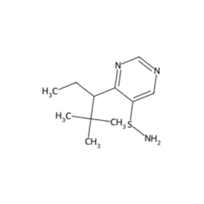 CCC(c1ncncc1SN)C(C)(C)C